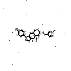 Cn1cc(SC[C@H]2CCC3=Cc4c(cnn4-c4ccc(F)cc4)C[C@]3(CO)C2)cn1